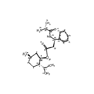 CC(C)[C@@H]1CC[C@@H](C)C[C@H]1OC(=O)C[C@@H](NC(=O)[C@@H](C)N)c1ccccc1